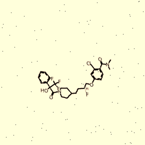 CN(C)C(=O)c1ccc(OC[C@H](F)CCC2CCN(C(=O)C(O)(c3ccccc3)C(F)(F)F)CC2)cc1Cl